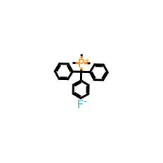 C[P+](C)(C)C(c1ccccc1)(c1ccccc1)c1ccccc1.[F-]